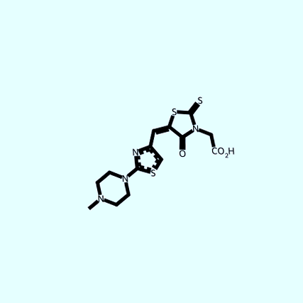 CN1CCN(c2nc(C=C3SC(=S)N(CC(=O)O)C3=O)cs2)CC1